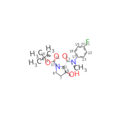 CN(C(=O)[C@@H]1[C@@H](O)CCN1C(=O)OC(C)(C)C)c1ccc(F)cc1